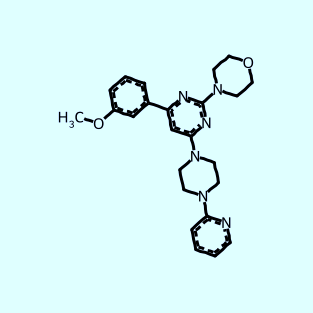 COc1cccc(-c2cc(N3CCN(c4ccccn4)CC3)nc(N3CCOCC3)n2)c1